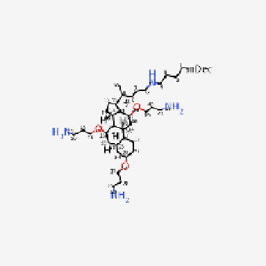 CCCCCCCCCCCCCCNCCCC(C)C1CC[C@H]2[C@@H]3[C@H](OCCCN)C[C@@H]4C[C@H](OCCCN)CC[C@]4(C)[C@H]3C[C@H](OCCCN)[C@]12C